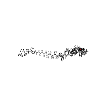 CCC(C)C(=O)OCCCCCCCCCCCCOC(=O)c1ccc(OS(=O)(=O)C(F)(F)C(F)(F)C(F)(F)S(=O)(=O)NS(=O)(=O)C(F)(F)F)cc1